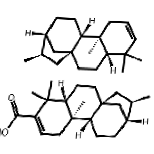 C[C@@H]1C[C@]23CC[C@H]4C(C)(C)C(C(=O)O)=CC[C@]4(C)[C@H]2CC[C@@H]1C3.C[C@@H]1C[C@]23CC[C@H]4C(C)(C)C=CC[C@]4(C)[C@H]2CC[C@@H]1C3